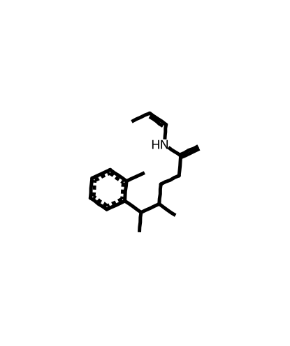 C=C(CCC(C)C(C)c1ccccc1C)N/C=C\C